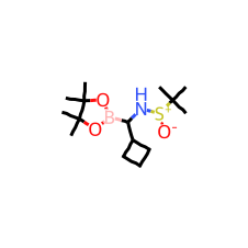 CC(C)(C)[S@+]([O-])NC(B1OC(C)(C)C(C)(C)O1)C1CCC1